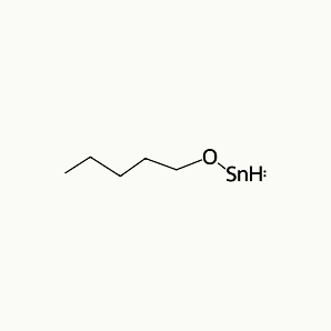 CCCCC[O][SnH]